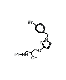 CC(C)NCC(O)COc1ccn(Cc2ccc(C(C)C)cc2)n1